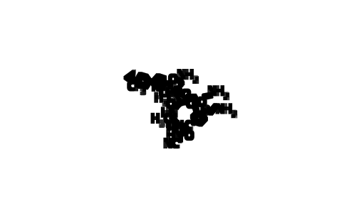 Cc1nc(-c2ccc(C3(C(F)(F)F)CC3)cc2)ccc1C(=O)N[C@@H](CCN)C(=O)N(C)[C@@H]1C(=O)N[C@@H](C)C(=O)N[C@H](C(=O)NCC#N)Cc2ccc(OCCN)c(c2)-c2cc1ccc2OCCN